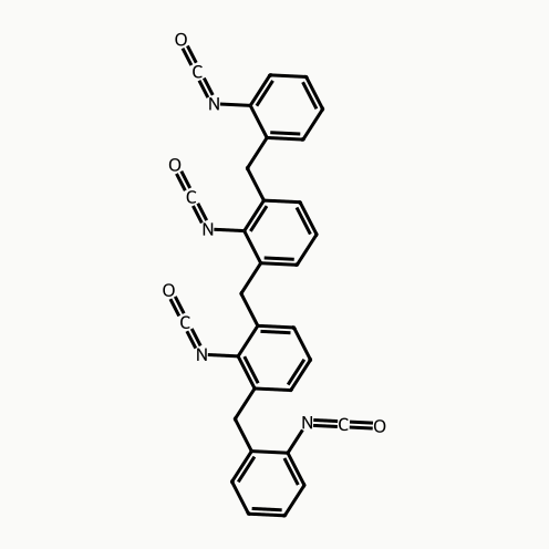 O=C=Nc1ccccc1Cc1cccc(Cc2cccc(Cc3ccccc3N=C=O)c2N=C=O)c1N=C=O